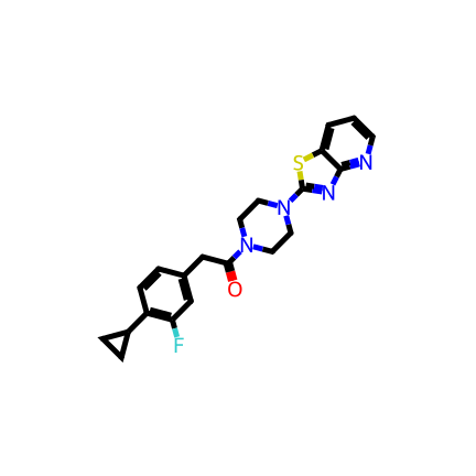 O=C(Cc1ccc(C2CC2)c(F)c1)N1CCN(c2nc3ncccc3s2)CC1